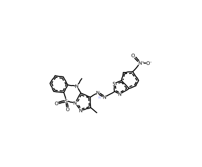 Cc1nn2c(c1/N=N/c1nc3ccc([N+](=O)[O-])cc3s1)N(C)c1ccccc1S2(=O)=O